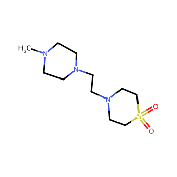 CN1CCN(CCN2CCS(=O)(=O)CC2)CC1